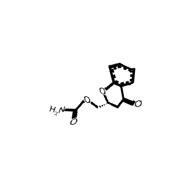 NC(=O)OC[C@H]1CC(=O)c2ccccc2O1